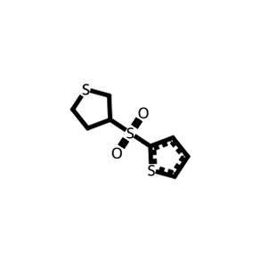 O=S(=O)(c1cccs1)C1CCSC1